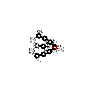 Cc1cc(C)cc(-c2ccc3c4ccc(-c5cc(C)cc(C)c5)cc4n(-c4cc(-c5nc(C)nc(C)n5)cc(-n5c6cc(-c7cc(C)cc(C)c7)ccc6c6ccc(-c7cc(C)cc(C)c7)cc65)c4C(F)(F)F)c3c2)c1